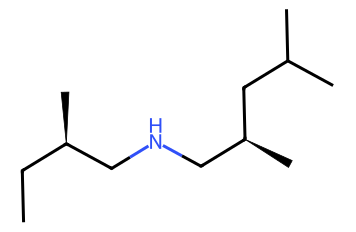 CC[C@@H](C)CNC[C@H](C)CC(C)C